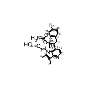 COCCn1c(C)c(C)c2nccc(C(Cc3ccc(F)cc3)C(C)(C)OC(N)=O)c21.Cl